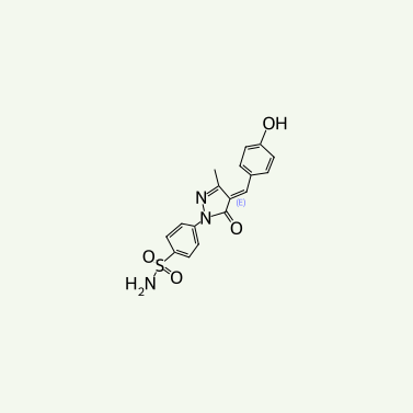 CC1=NN(c2ccc(S(N)(=O)=O)cc2)C(=O)/C1=C/c1ccc(O)cc1